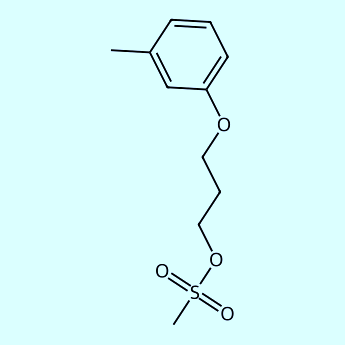 Cc1cccc(OCCCOS(C)(=O)=O)c1